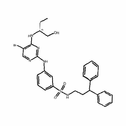 CC[C@H](CO)Nc1nc(Nc2cccc(S(=O)(=O)NCCC(c3ccccc3)c3ccccc3)c2)ncc1Br